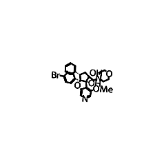 COc1cncc2c1[C@]1(O)[C@](O)(CN3CCOCC3)C[C@@H](c3ccccc3)[C@]1(c1ccc(Br)cc1)O2